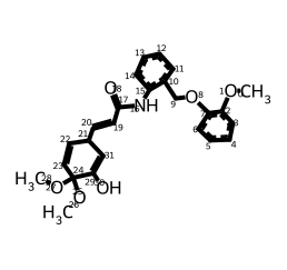 COc1ccccc1OCc1ccccc1NC(=O)/C=C/C1C=CC(OC)(OC)C(O)=C1